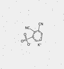 N#Cc1cccc(S(=O)(=O)[O-])c1C#N.[K+]